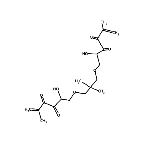 C=C(C)C(=O)C(=O)C(O)COCC(C)(C)COCC(O)C(=O)C(=O)C(=C)C